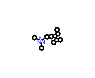 c1ccc(-c2nc(-c3ccccc3)nc(-c3ccc4cc5c(cc4c3)C3(c4ccccc4-c4ccccc43)c3ccc4ccccc4c3-5)n2)cc1